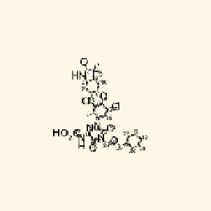 CC1(C)C(=O)Nc2ccc(Oc3c(Cl)cc(-n4nc(NC(=O)O)c(=O)n(COCc5ccccc5)c4=O)cc3Cl)cc21